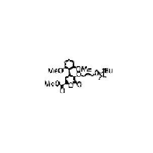 COC(=O)c1cc(-c2c(OC)cccc2OC)c(OCCCO[Si](C)(C)C(C)(C)C)c(=O)o1